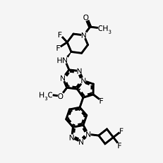 COc1nc(N[C@@H]2CCN(C(C)=O)CC2(F)F)nn2cc(F)c(-c3ccc4nnn(C5CC(F)(F)C5)c4c3)c12